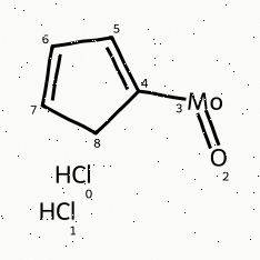 Cl.Cl.[O]=[Mo][C]1=CC=CC1